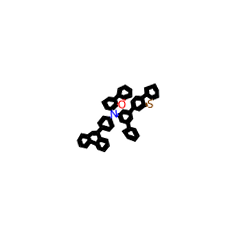 c1ccc(-c2cc(-c3ccc4c(c3)sc3ccccc34)cc(N(c3ccc(-c4cc5ccccc5c5ccccc45)cc3)c3cccc4c3oc3ccccc34)c2)cc1